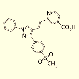 CS(=O)(=O)c1ccc(-c2nn(-c3ccccc3)cc2/C=C/c2cc(C(=O)O)ccn2)cc1